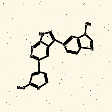 COc1cc(-c2cc3c(-c4ccc5ncn(C(C)(C)C)c5c4)c[nH]c3nn2)ccn1